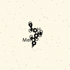 CNC(=O)c1c(-c2ccc(F)cc2)oc2cc(NS(C)(=O)=O)c([C@@H]3CCCN(C(=O)C4C5COCC54)C3)cc12